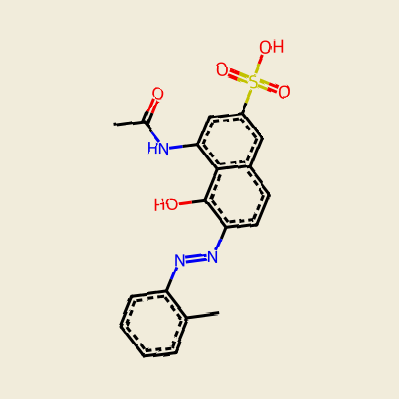 CC(=O)Nc1cc(S(=O)(=O)O)cc2ccc(N=Nc3ccccc3C)c(O)c12